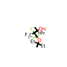 CCCC(C)(O)C(F)(C(F)(F)F)C(F)(F)OC(C)(CC)CC